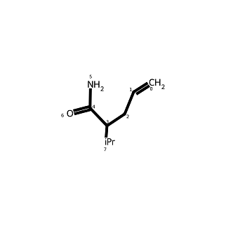 C=CCC(C(N)=O)C(C)C